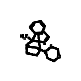 CC1(c2ccccc2)C2CCC(N3CCOCS3)(CC2)C12CCC=N2